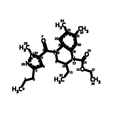 CCCc1cc(C(=O)N2CC(CC)N(C(=O)OCC)c3cc(C)c(C)cc32)n(C)n1